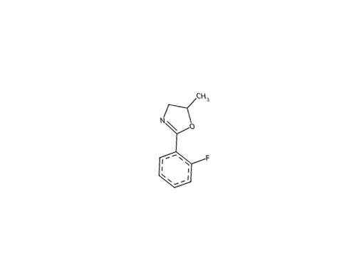 CC1CN=C(c2ccccc2F)O1